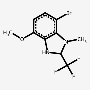 COc1ccc(Br)c2c1NC(C(F)(F)F)N2C